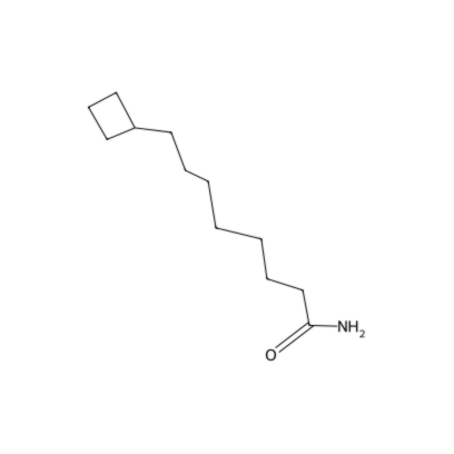 NC(=O)CCCCCCCC1CCC1